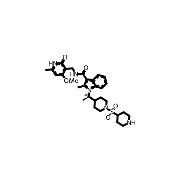 COc1cc(C)[nH]c(=O)c1CNC(=O)c1c(C)n([C@H](C)C2CCN(S(=O)(=O)C3CCNCC3)CC2)c2ccccc12